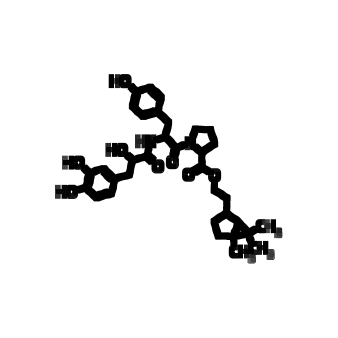 CC1(C)C2C(CCOC(=O)C3CCCN3C(=O)C(Cc3ccc(O)cc3)NC(=O)C(O)Cc3ccc(O)c(O)c3)CCC21C